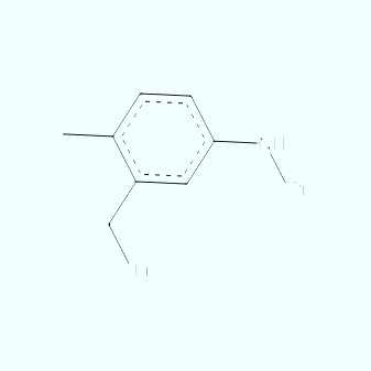 Cc1ccc(NC(C)C)cc1CC(C)C